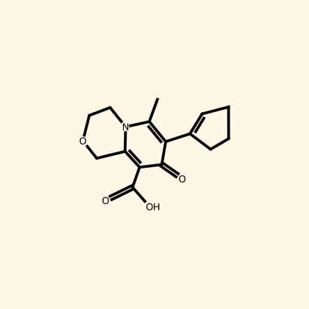 Cc1c(C2=CCCC2)c(=O)c(C(=O)O)c2n1CCOC2